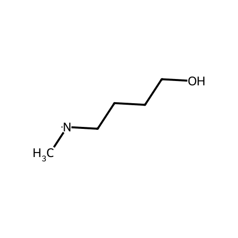 C[N]CCCCO